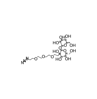 [N-]=[N+]=NCCOCCOCCOCC[C@]1(O)[C@H](O[C@H]2O[C@H](CO)[C@@H](O)[C@H](O)[C@H]2O)O[C@H](CO)[C@H](O)[C@@H]1O